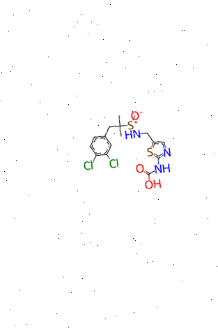 CC(C)(Cc1ccc(Cl)c(Cl)c1)[S+]([O-])NCc1cnc(NC(=O)O)s1